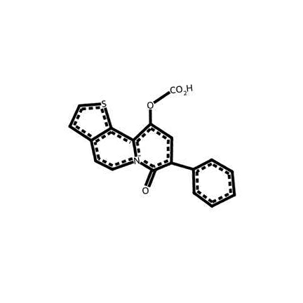 O=C(O)Oc1cc(-c2ccccc2)c(=O)n2ccc3ccsc3c12